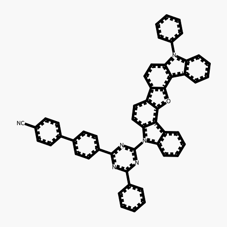 N#Cc1ccc(-c2ccc(-c3nc(-c4ccccc4)nc(-n4c5ccccc5c5c6oc7c(ccc8c7c7ccccc7n8-c7ccccc7)c6ccc54)n3)cc2)cc1